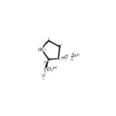 O=C(O)[C@@H]1CCCN1.[H-].[OH-].[Zn+2]